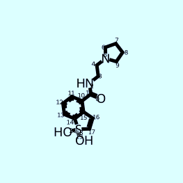 O=C(NCCN1CCCC1)c1cccc2c1C=CS2(O)O